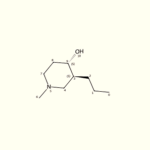 CCC[C@H]1CN(C)CC[C@@H]1O